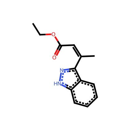 CCOC(=O)/C=C(/C)c1n[nH]c2ccccc12